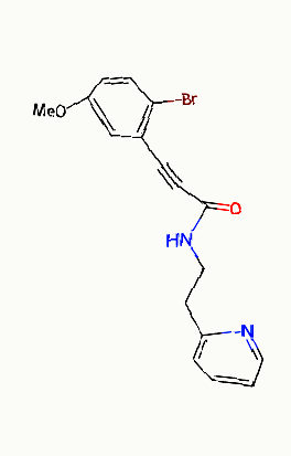 COc1ccc(Br)c(C#CC(=O)NCCc2ccccn2)c1